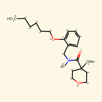 COC1(C(=O)N(Cc2ccccc2OCCCCCC(=O)O)C(C)C)CCOCC1